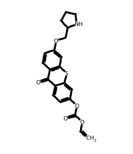 C=COC(=O)Oc1ccc2c(=O)c3ccc(OCC4CCCN4)cc3sc2c1